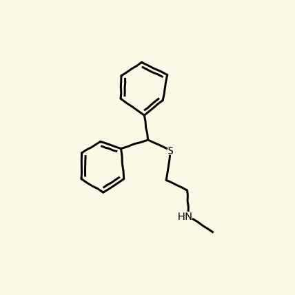 CNCCSC(c1ccccc1)c1ccccc1